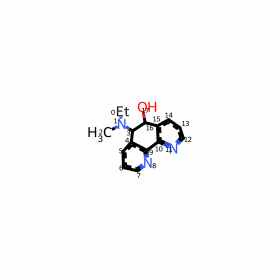 CCN(C)C1c2cccnc2-c2ncccc2C1O